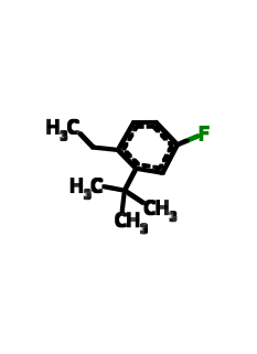 CCc1ccc(F)cc1C(C)(C)C